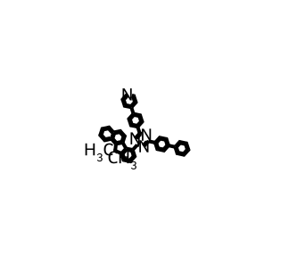 CC1(C)c2cccc(-c3nc(-c4ccc(-c5ccccc5)cc4)nc(-c4ccc(-c5ccncc5)cc4)n3)c2-c2ccc3ccccc3c21